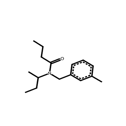 CCCC(=O)N(Cc1cccc(C)c1)C(C)CC